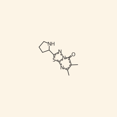 Cc1nc2sc(C3CCCN3)nn2c(=O)c1C